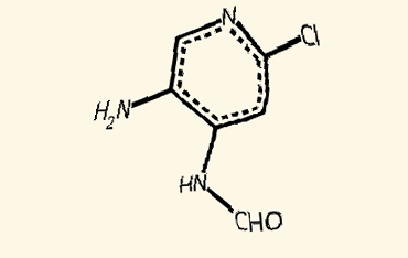 Nc1cnc(Cl)cc1NC=O